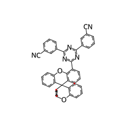 N#Cc1cccc(-c2nc(-c3cccc(C#N)c3)nc(-c3cccc4c3Oc3ccccc3C43c4ccccc4Oc4ccccc43)n2)c1